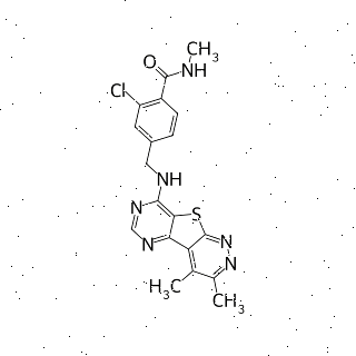 CNC(=O)c1ccc(CNc2ncnc3c2sc2nnc(C)c(C)c23)cc1Cl